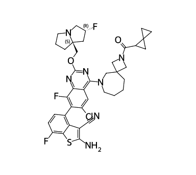 N#Cc1c(N)sc2c(F)ccc(-c3c(Cl)cc4c(N5CCCCC6(CN(C(=O)C7CC78CC8)C6)C5)nc(OC[C@@]56CCCN5C[C@H](F)C6)nc4c3F)c12